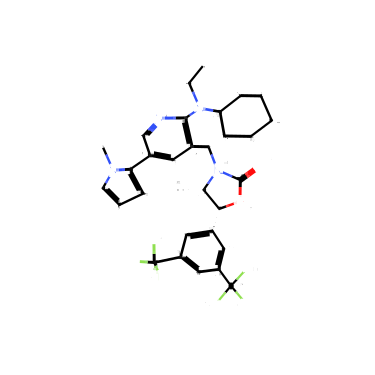 CCN(c1ncc(-c2cccn2C)cc1CN1C(=O)O[C@H](c2cc(C(F)(F)F)cc(C(F)(F)F)c2)[C@@H]1C)C1CCCCC1